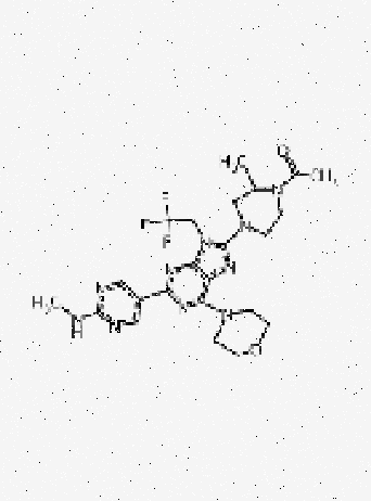 CNc1ncc(-c2nc(N3CCOCC3)c3nc(N4CCN(C(C)=O)C(C)C4)n(CC(F)(F)F)c3n2)cn1